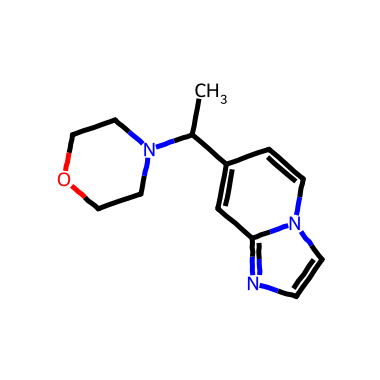 CC(c1ccn2ccnc2c1)N1CCOCC1